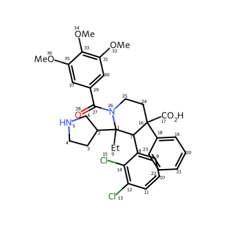 CCC1(C2CCNC2)C(c2cccc(Cl)c2Cl)C(C(=O)O)(c2ccccc2)CCN1C(=O)c1cc(OC)c(OC)c(OC)c1